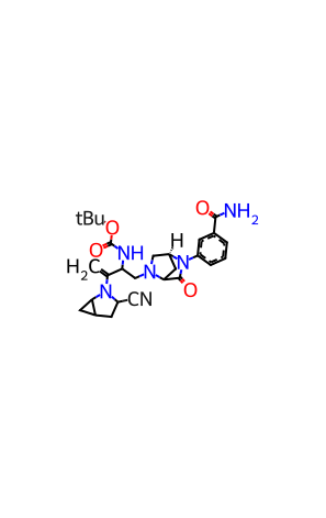 C=C(C(CN1C[C@@H]2CC1C(=O)N2c1cccc(C(N)=O)c1)NC(=O)OC(C)(C)C)N1C(C#N)CC2CC21